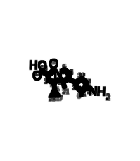 Cc1cc(-c2ccn3c(=O)c(C(=O)O)cc(C4CC4)c3c2C)ccc1N